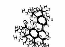 CC(C)(C)c1ccc(C(=O)c2cc(C(=O)O)c(C(C)(C)C)c(C(C)(C)C)c2C(=O)O)cc1C(C)(C)C